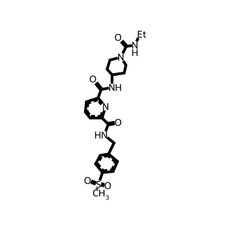 CCNC(=O)N1CCC(NC(=O)c2cccc(C(=O)NCc3ccc(S(C)(=O)=O)cc3)n2)CC1